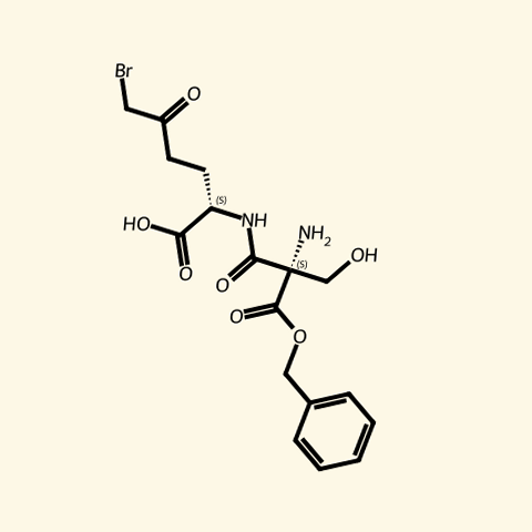 N[C@@](CO)(C(=O)N[C@@H](CCC(=O)CBr)C(=O)O)C(=O)OCc1ccccc1